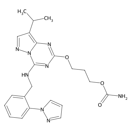 CC(C)c1cnn2c(NCc3ccccc3-n3cccn3)nc(OCCCOC(N)=O)nc12